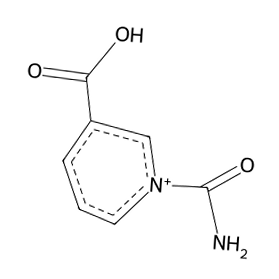 NC(=O)[n+]1cccc(C(=O)O)c1